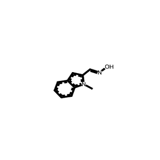 Cn1c(C=NO)cc2ccccc21